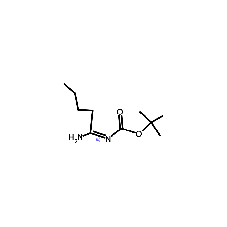 CCCC/C(N)=N\C(=O)OC(C)(C)C